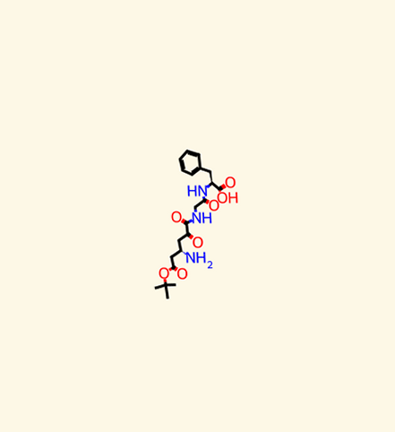 CC(C)(C)OC(=O)C[C@@H](N)CC(=O)C(=O)NCC(=O)N[C@@H](Cc1ccccc1)C(=O)O